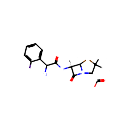 CC1(C)S[C@H]2N(C(=O)[C@]2(C)NC(=O)C(N)c2ccccc2I)[C@H]1C(=O)O